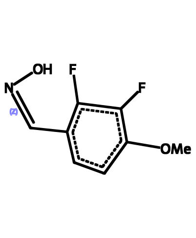 COc1ccc(/C=N\O)c(F)c1F